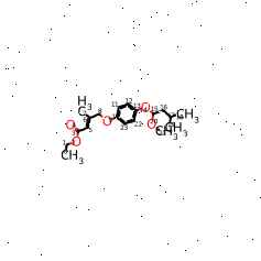 CCOC(=O)C=C(C)COc1ccc(OC(CC(C)C)OC)cc1